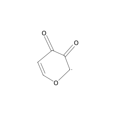 O=C1[CH]OC=CC1=O